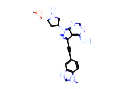 COC[C@H]1C[C@H](n2nc(C#Cc3ccc4c(c3)ncn4C)c3c(N)ncnc32)CN1